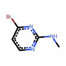 CNc1nccc(Br)n1